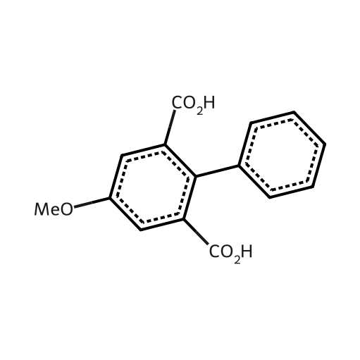 COc1cc(C(=O)O)c(-c2ccccc2)c(C(=O)O)c1